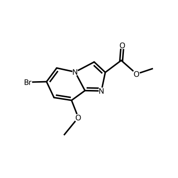 COC(=O)c1cn2cc(Br)cc(OC)c2n1